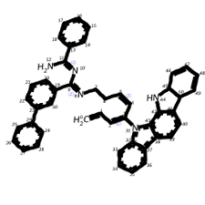 C=C/C=C(\C=C/CC/N=C(\N=C(/N)c1ccccc1)c1cccc(-c2ccccc2)c1)n1c2ccccc2c2ccc3c(c21)NC1C=CC=CC31